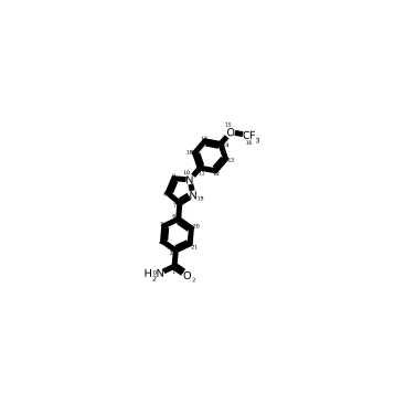 NC(=O)c1ccc(-c2ccn(-c3ccc(OC(F)(F)F)cc3)n2)cc1